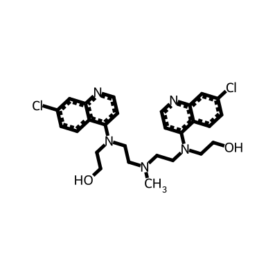 CN(CCN(CCO)c1ccnc2cc(Cl)ccc12)CCN(CCO)c1ccnc2cc(Cl)ccc12